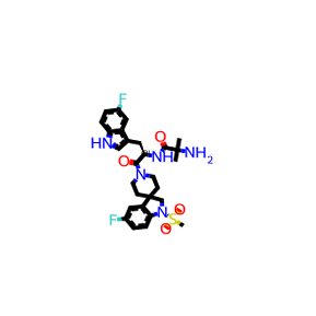 CC(C)(N)C(=O)N[C@H](Cc1c[nH]c2ccc(F)cc12)C(=O)N1CCC2(CC1)CN(S(C)(=O)=O)c1ccc(F)cc12